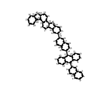 c1ccc2cc(-c3c4ccccc4c(-c4ccc5cc(-c6ccc7sc8c(ccc9c8ccc8sc%10ccccc%10c89)c7c6)ccc5c4)c4ccccc34)ccc2c1